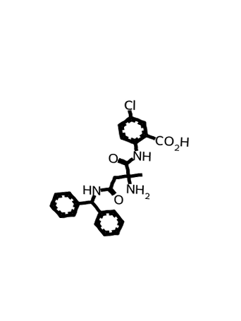 CC(N)(CC(=O)NC(c1ccccc1)c1ccccc1)C(=O)Nc1ccc(Cl)cc1C(=O)O